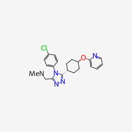 CNCc1nnc([C@H]2CC[C@H](Oc3ccccn3)CC2)n1-c1ccc(Cl)cc1